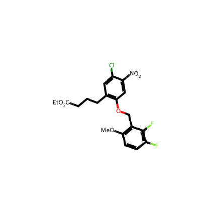 CCOC(=O)CCCc1cc(Cl)c([N+](=O)[O-])cc1OCc1c(OC)ccc(F)c1F